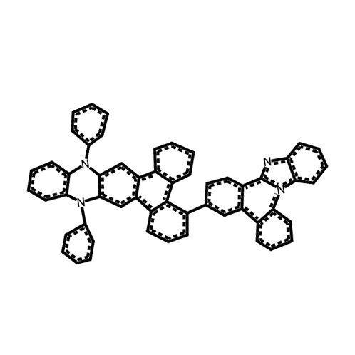 c1ccc(N2c3ccccc3N(c3ccccc3)c3cc4c(cc32)c2ccccc2c2c(-c3ccc5c(c3)c3ccccc3n3c6ccccc6nc53)cccc42)cc1